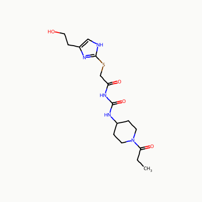 CCC(=O)N1CCC(NC(=O)NC(=O)CSc2nc(CCO)c[nH]2)CC1